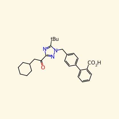 CC(C)(C)c1nc(C(=O)CC2CCCCC2)nn1Cc1ccc(-c2ccccc2C(=O)O)cc1